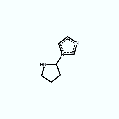 c1cn(C2CCCN2)cn1